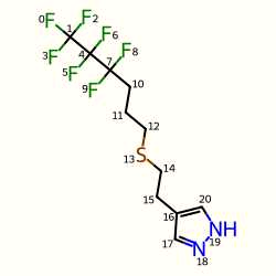 FC(F)(F)C(F)(F)C(F)(F)CCCSCCc1cn[nH]c1